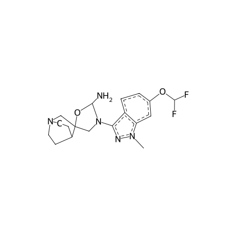 Cn1nc(N2CC3(CN4CCC3CC4)OC2N)c2ccc(OC(F)F)cc21